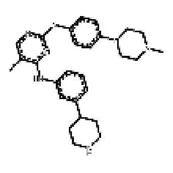 Cc1cnc(Nc2ccc(N3CCN(C)CC3)cc2)nc1Nc1cccc(C2CCNCC2)c1